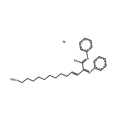 CCCCCCCCCCCCCCCCCCCC=CC(=Nc1ccccc1)C(CC)=Nc1ccccc1.[Ni]